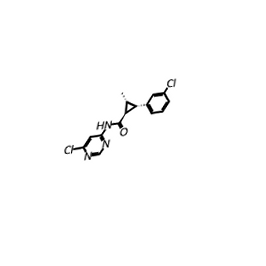 C[C@H]1[C@H](C(=O)Nc2cc(Cl)ncn2)[C@H]1c1cccc(Cl)c1